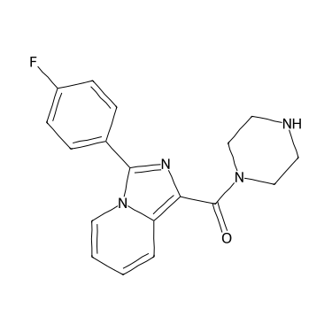 O=C(c1nc(-c2ccc(F)cc2)n2ccccc12)N1CCNCC1